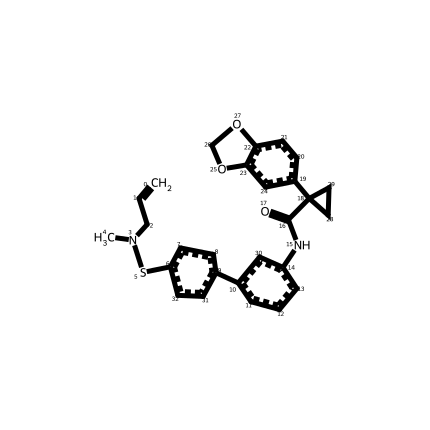 C=CCN(C)Sc1ccc(-c2cccc(NC(=O)C3(c4ccc5c(c4)OCO5)CC3)c2)cc1